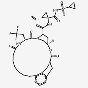 C=C[C@@H]1C[C@]1(NC(=O)[C@@H]1C[C@@H]2CN1C(=O)[C@H](CC(F)(F)F)NC(=O)CCCCCCc1cccc3c1CN(C3)C(=O)O2)C(=O)NS(=O)(=O)C1CC1